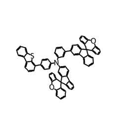 c1cc(-c2ccc3c(c2)-c2ccccc2C32c3ccccc3Oc3ccccc32)cc(N(c2ccc(-c3cccc4c3sc3ccccc34)cc2)c2ccc3c(c2)C2(c4ccccc4Oc4ccccc42)c2ccccc2-3)c1